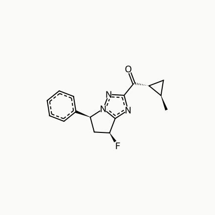 C[C@@H]1C[C@H]1C(=O)c1nc2n(n1)[C@H](c1ccccc1)C[C@@H]2F